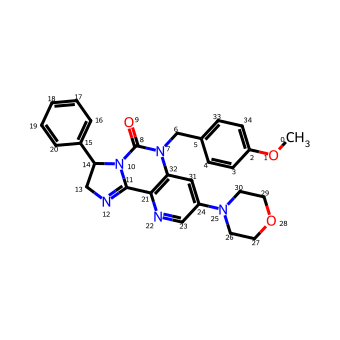 COc1ccc(CN2C(=O)N3C(=NCC3c3ccccc3)c3ncc(N4CCOCC4)cc32)cc1